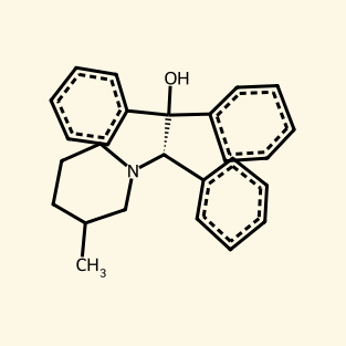 CC1CCCN([C@@H](c2ccccc2)C(O)(c2ccccc2)c2ccccc2)C1